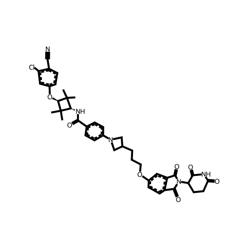 CC1(C)[C@H](NC(=O)c2ccc(N3CC(CCCOc4ccc5c(c4)C(=O)N(C4CCC(=O)NC4=O)C5=O)C3)cc2)C(C)(C)[C@H]1Oc1ccc(C#N)c(Cl)c1